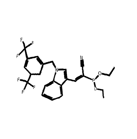 CCOP(OCC)/C(C#N)=C/c1cn(CC2=CC(C(F)(F)F)=CC(C(F)(F)F)C2)c2ccccc12